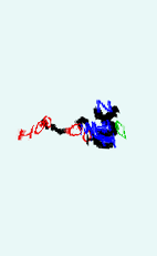 Cc1cc(-c2nc3c(cc2Cl)N2CC[C@@H](C2)N3C(=O)Nc2cccc(OCCCCOC(C)(C)O)n2)ccn1